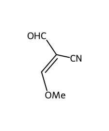 CO/C=C(\C#N)C=O